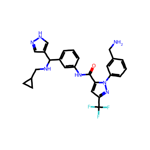 NCc1cccc(-n2nc(C(F)(F)F)cc2C(=O)Nc2cccc(C(NCC3CC3)c3cn[nH]c3)c2)c1